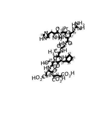 CC(C)[C@H](NC(=O)[C@@H](N)Cc1c[nH]cn1)C(=O)N[C@@H](CCCNC(=N)N)C(=O)NCC(=O)N[C@@H](C)C(=O)N[C@@H](Cc1ccccc1)C(=O)N[C@@H](CO)C(=O)N[C@@H](CCC(=O)O)C(=O)N[C@@H](CCC(=O)O)C(=O)O